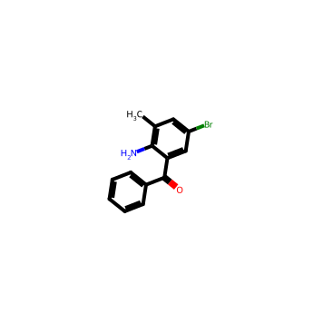 Cc1cc(Br)cc(C(=O)c2ccccc2)c1N